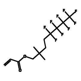 C=CC(=O)OCC(C)(C)CCC(F)(F)C(F)(F)C(F)(F)C(F)(F)F